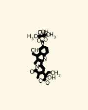 CCc1c2c(nc3ccc(B4OC(C)(C)C(C)(C)O4)cc13)-c1cc3c(c(=O)n1C2)COC(=O)[C@]3(O)CC